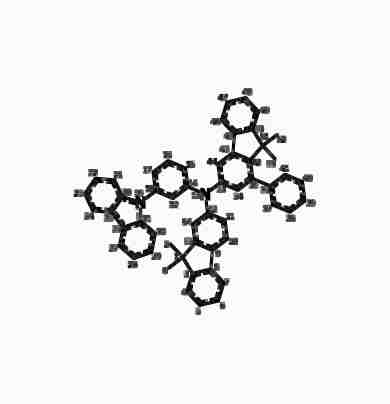 CC1(C)c2ccccc2-c2ccc(N(c3cccc(-n4c5ccccc5c5ccccc54)c3)c3cc(-c4ccccc4)c4c(c3)-c3ccccc3C4(C)C)cc21